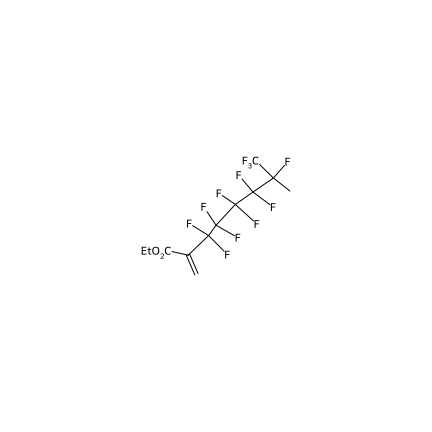 C=C(C(=O)OCC)C(F)(F)C(F)(F)C(F)(F)C(F)(F)C(C)(F)C(F)(F)F